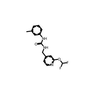 Cc1cccc(NC(=O)NCc2ccnc(OC(F)F)c2)c1